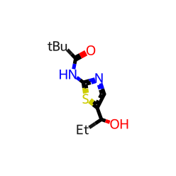 CCC(O)c1cnc(NC(=O)C(C)(C)C)s1